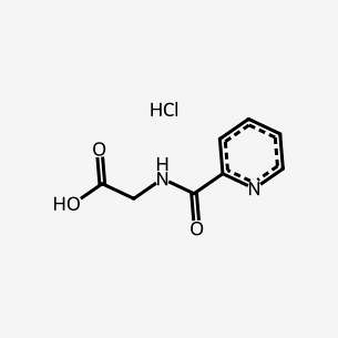 Cl.O=C(O)CNC(=O)c1ccccn1